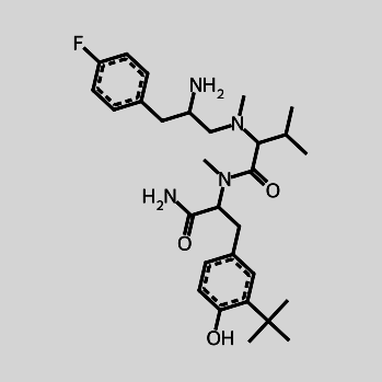 CC(C)C(C(=O)N(C)C(Cc1ccc(O)c(C(C)(C)C)c1)C(N)=O)N(C)CC(N)Cc1ccc(F)cc1